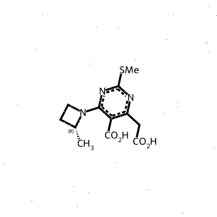 CSc1nc(CC(=O)O)c(C(=O)O)c(N2CC[C@H]2C)n1